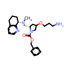 CN(C[C@@H]1CC(OCCCN)CN1C(=O)OCc1ccccc1)[C@H]1CCCc2cccnc21